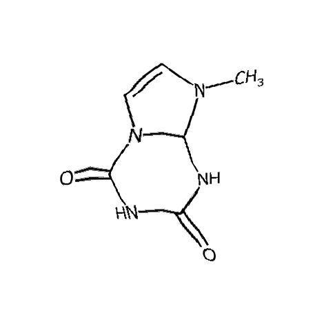 CN1C=CN2C(=O)NC(=O)NC12